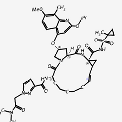 COc1ccc2c(O[C@@H]3C[C@H]4C(=O)N[C@]5(C(=O)NS(=O)(=O)C6(C)CC6)CC5/C=C\CCCCC[C@H](NC(=O)c5ccn(CC(=O)N(C)C)n5)C(=O)N4C3)cc(OC(C)C)nc2c1C